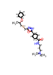 CC(CSCc1nnc(-c2ccc(C(=O)NCCCN(C)C)cc2)o1)Oc1ccccc1